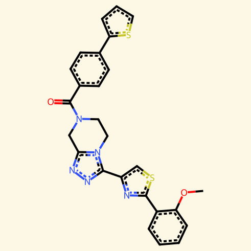 COc1ccccc1-c1nc(-c2nnc3n2CCN(C(=O)c2ccc(-c4cccs4)cc2)C3)cs1